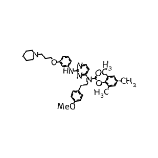 COc1ccc(CCN(C(=O)Oc2c(C)cc(C)cc2C)c2ccnc(Nc3cccc(OCCCN4CCCCC4)c3)n2)cc1